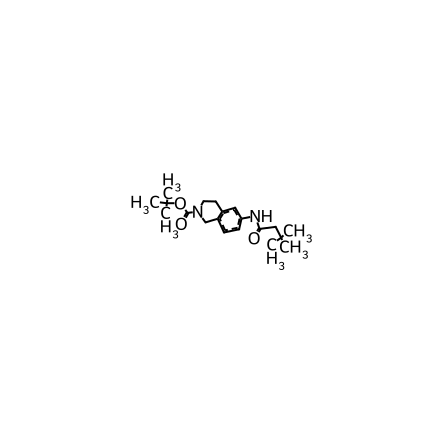 CC(C)(C)CC(=O)Nc1ccc2c(c1)CCN(C(=O)OC(C)(C)C)C2